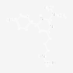 CN(C)c1nc(CCCNC(=O)O)cc(-c2ccc(Cl)cc2)n1